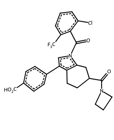 O=C(O)c1ccc(-c2cn(C(=O)c3c(Cl)cccc3C(F)(F)F)c3c2CCC(C(=O)N2CCC2)C3)cc1